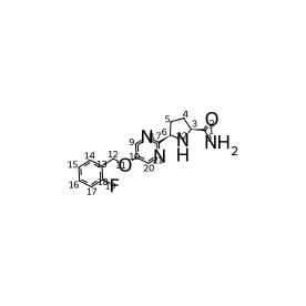 NC(=O)[C@@H]1CC[C@H](c2ncc(OCc3ccccc3F)cn2)N1